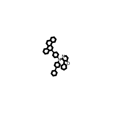 c1ccc(-c2ccc(N(c3ccc(-c4cc5c6ccccc6ccc5c5ccccc45)cc3)c3nccc4oc5ccccc5c34)cc2)cc1